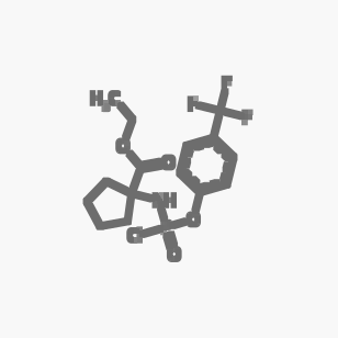 CCOC(=O)C1(NP(=O)(Cl)Oc2ccc(C(F)(F)F)cc2)CCCC1